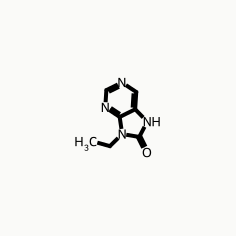 CCn1c(=O)[nH]c2cncnc21